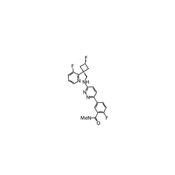 CNC(=O)c1cc(-c2ccc(NC[C@]3(c4ncccc4F)C[C@H](F)C3)nn2)ccc1F